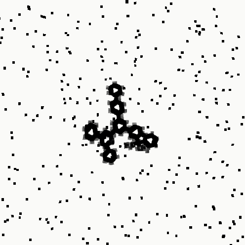 CC1(C)c2ccccc2-c2ccc(-c3cc(-c4ccc(-c5ccccc5)cc4)cc(-c4cc(-c5ccccc5)cc(-c5ccccc5)n4)c3)cc21